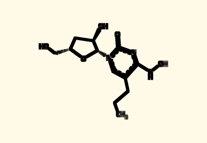 CCCc1cn([C@@H]2O[C@H](CO)C[C@H]2O)c(=O)nc1NO